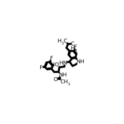 CC(=O)NC(Cc1cc(F)cc(F)c1)C(O)CNC1CCNc2cc(F)c(CC(C)C)cc21